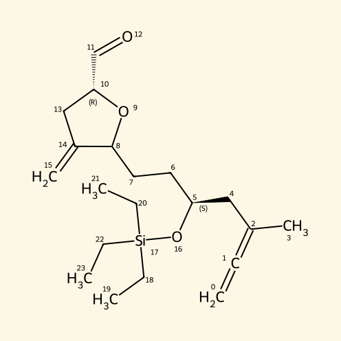 C=C=C(C)C[C@H](CCC1O[C@@H](C=O)CC1=C)O[Si](CC)(CC)CC